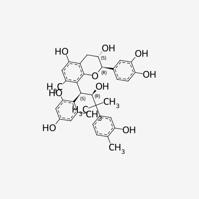 Cc1ccc(C(C)(C)[C@H](O)[C@@H](c2c(C)cc(O)cc2O)c2c(C)cc(O)c3c2O[C@H](c2ccc(O)c(O)c2)[C@@H](O)C3)cc1O